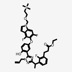 C=CCn1nc(C(C)c2cccc(CCC(=O)OCC)c2F)nc1-c1cc(Oc2c(F)cc3c(ccn3COCC[Si](C)(C)C)c2F)ccc1O